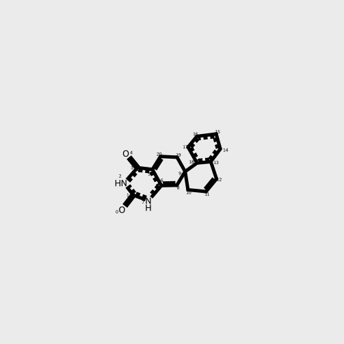 O=c1[nH]c(=O)c2c([nH]1)=CC1(CC=Cc3ccccc31)CC=2